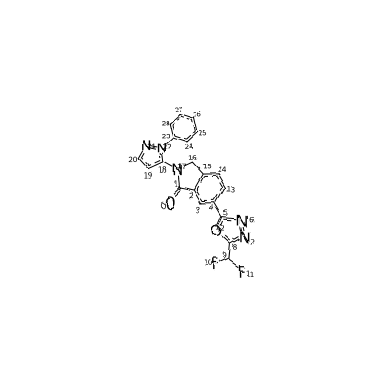 O=C1c2cc(-c3nnc(C(F)F)o3)ccc2CN1c1ccnn1-c1ccccc1